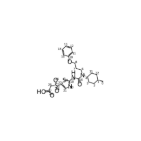 C[C@H]1CC[C@H](N(CCCOc2ccccc2)C(=O)Nc2ncc(S(=O)(=O)CC(=O)O)s2)CC1